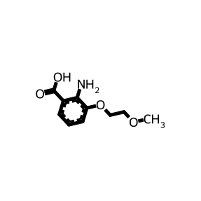 COCCOc1cccc(C(=O)O)c1N